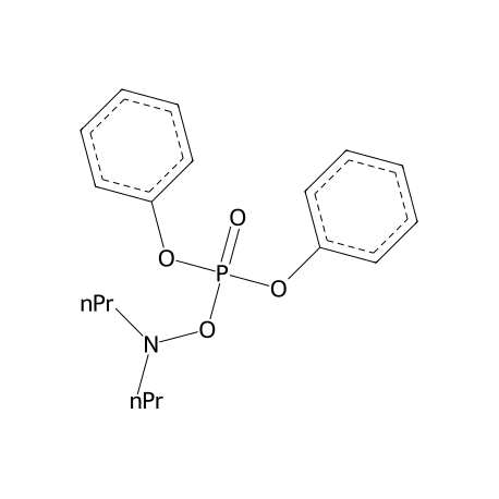 CCCN(CCC)OP(=O)(Oc1ccccc1)Oc1ccccc1